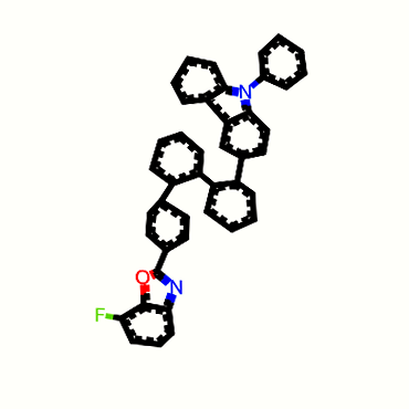 Fc1cccc2nc(-c3ccc(-c4ccccc4-c4ccccc4-c4ccc5c(c4)c4ccccc4n5-c4ccccc4)cc3)oc12